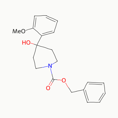 COc1ccccc1C1(O)CCN(C(=O)OCc2ccccc2)CC1